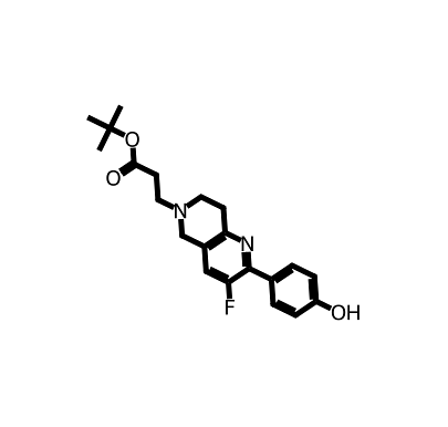 CC(C)(C)OC(=O)CCN1CCc2nc(-c3ccc(O)cc3)c(F)cc2C1